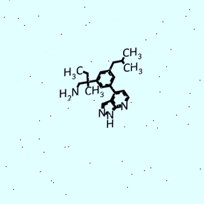 CCC(C)(CN)c1cc(CC(C)C)cc(-c2ccnc3[nH]ncc23)c1